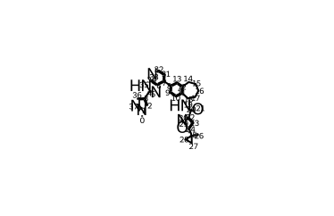 Cn1cc(-c2nc3c(-c4ccc5c(c4)CCCC[C@H]5NC(=O)c4cc(C5(C)CC5)on4)ccnc3[nH]2)cn1